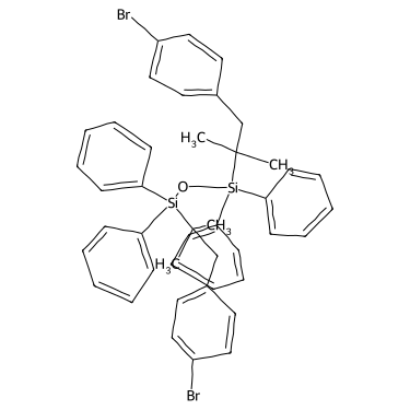 CC(C)(Cc1ccc(Br)cc1)[Si](O[Si](c1ccccc1)(c1ccccc1)C(C)(C)Cc1ccc(Br)cc1)(c1ccccc1)c1ccccc1